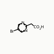 O=C(O)Cc1ncc(Br)cn1